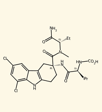 CC[C@@H](C(N)=O)N(C)C(=O)[C@@]1(NC(=O)[C@@H](NC(=O)O)C(C)C)CCc2[nH]c3c(Cl)cc(Cl)cc3c2C1